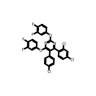 Fc1ccc(Oc2nc(Oc3ccc(F)c(F)c3)c(-c3ccc(Cl)cc3)c(-c3ccc(Cl)cc3Cl)n2)cc1F